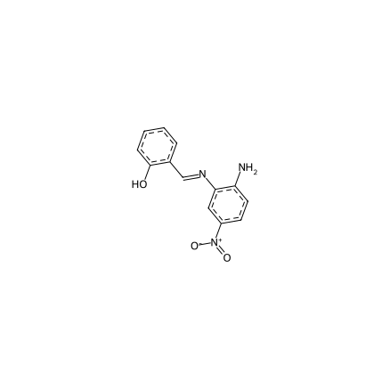 Nc1ccc([N+](=O)[O-])cc1N=Cc1ccccc1O